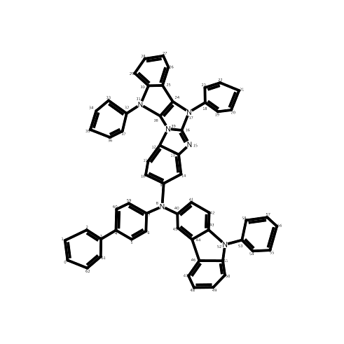 c1ccc(-c2ccc(N(c3ccc4c(c3)nc3n(-c5ccccc5)c5c6ccccc6n(-c6ccccc6)c5n43)c3ccc4c(c3)c3ccccc3n4-c3ccccc3)cc2)cc1